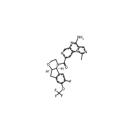 Cc1ncc2c(N)nc3cnc(C(=O)N4CCO[C@@H]5Cc6cc(OC(F)(F)F)c(F)cc6[C@@H]54)cc3n12